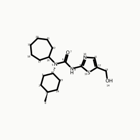 C[C@H]1CC[C@H](N(C(=O)Nc2ncc(CO)s2)C2CCCCCC2)CC1